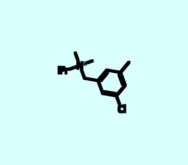 Cc1cc(Cl)cc(C[N+](C)(C)C(C)C)c1